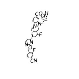 N#CCC1(Cn2c(Cc3c(F)cc(-c4ccnc(OCc5ccc(C#N)cc5F)n4)cc3F)nc3ccc(C(=O)O)cc32)CC1